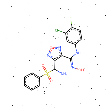 NC(c1nonc1/C(=N/O)Nc1ccc(F)c(Cl)c1)S(=O)(=O)c1ccccc1